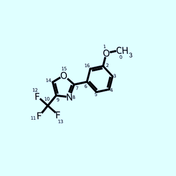 COc1cccc(-c2nc(C(F)(F)F)co2)c1